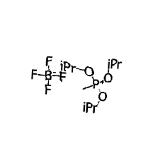 CC(C)O[P+](C)(OC(C)C)OC(C)C.F[B-](F)(F)F